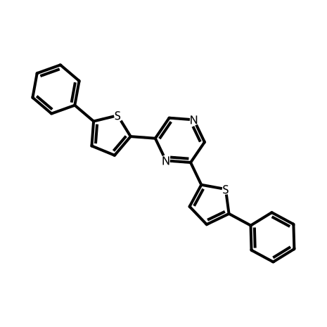 c1ccc(-c2ccc(-c3cncc(-c4ccc(-c5ccccc5)s4)n3)s2)cc1